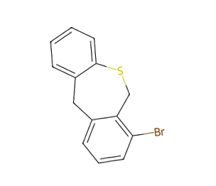 Brc1cccc2c1CSc1ccccc1C2